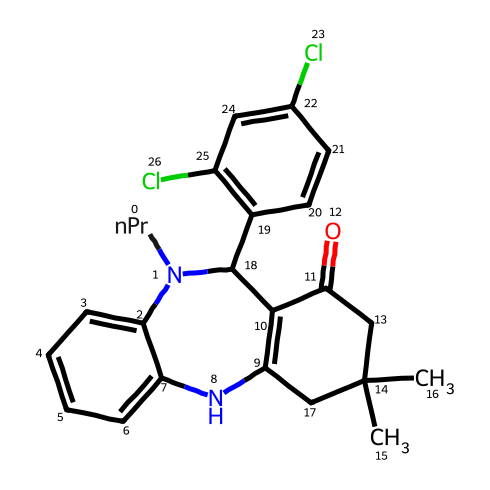 CCCN1c2ccccc2NC2=C(C(=O)CC(C)(C)C2)C1c1ccc(Cl)cc1Cl